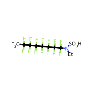 CCN(C(F)(F)C(F)(F)C(F)(F)C(F)(F)C(F)(F)C(F)(F)C(F)(F)C(F)(F)F)S(=O)(=O)O